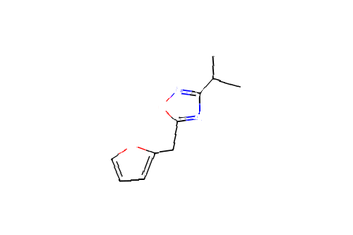 CC(C)c1noc(Cc2ccco2)n1